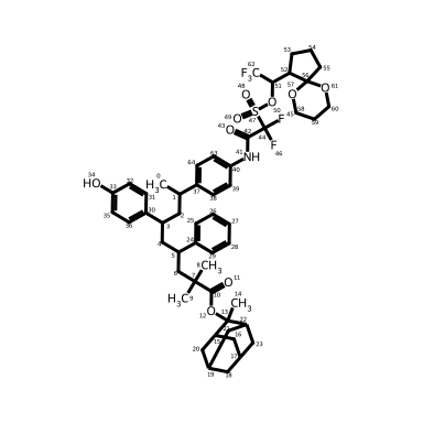 CC(CC(CC(CC(C)(C)C(=O)OC1(C)C2CC3CC(C2)CC1C3)c1ccccc1)c1ccc(O)cc1)c1ccc(NC(=O)C(F)(F)S(=O)(=O)OC(C2CCCC23OCCCO3)C(F)(F)F)cc1